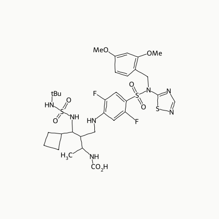 COc1ccc(CN(c2ncns2)S(=O)(=O)c2cc(F)c(NCC(C(C)NC(=O)O)C(NS(=O)(=O)NC(C)(C)C)C3CCC3)cc2F)c(OC)c1